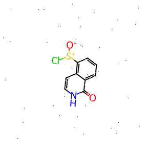 O=c1[nH]ccc2c([S+]([O-])Cl)cccc12